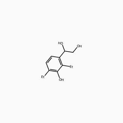 CCc1ccc(C(O)CO)c(CC)c1O